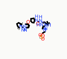 C[C@@H]1CCC[C@H](C)N1c1nnc2ccc(O[C@H]3CC[C@H](NC(=O)N/C(=C/C(=N)C(C)(C)C)Nc4cnn(CCOS(C)(=O)=O)c4)CC3)cn12